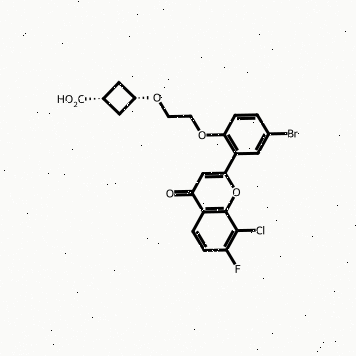 O=c1cc(-c2cc(Br)ccc2OCCO[C@H]2C[C@@H](C(=O)O)C2)oc2c(Cl)c(F)ccc12